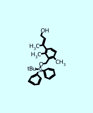 C/C(=C\CO)c1ccc(C)c(CO[Si](c2ccccc2)(c2ccccc2)C(C)(C)C)c1C